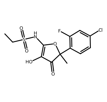 CCS(=O)(=O)NC1=C(O)C(=O)C(C)(c2ccc(Cl)cc2F)O1